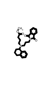 COC(=O)CCCN(CCCN1C(=O)c2ccccc2C1=O)C1CCCc2ccccc21